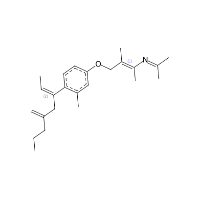 C=C(CCC)C/C(=C/C)c1ccc(OC/C(C)=C(\C)N=C(C)C)cc1C